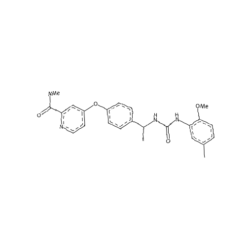 CNC(=O)c1cc(Oc2ccc(C(C)NC(=O)Nc3cc(C)ccc3OC)cc2)ccn1